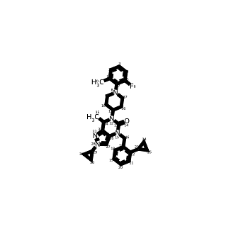 Cc1cccc(F)c1N1CCC(N2C(=O)N(Cc3ccccc3C3CC3)c3cn(C4CC4)nc3C2C)CC1